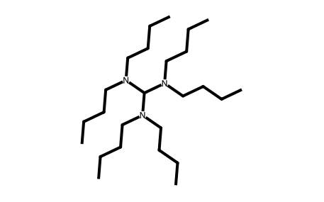 CCCCN(CCCC)[C](N(CCCC)CCCC)N(CCCC)CCCC